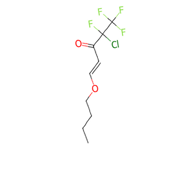 CCCCOC=CC(=O)C(F)(Cl)C(F)(F)F